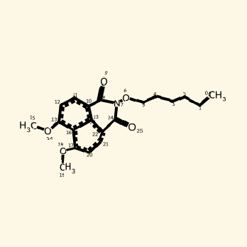 CCCCCCON1C(=O)c2ccc(OC)c3c(OC)ccc(c23)C1=O